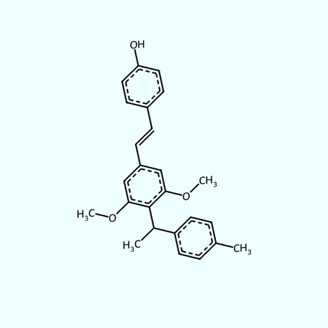 COc1cc(/C=C/c2ccc(O)cc2)cc(OC)c1C(C)c1ccc(C)cc1